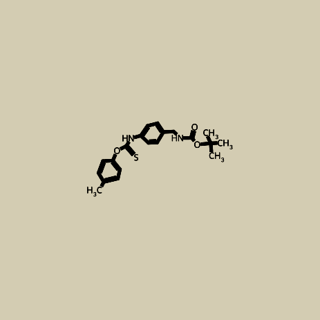 Cc1ccc(OC(=S)Nc2ccc(CNC(=O)OC(C)(C)C)cc2)cc1